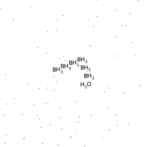 B.B.B.B.B.B.O